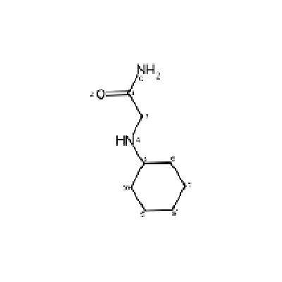 NC(=O)CNC1CC[CH]CC1